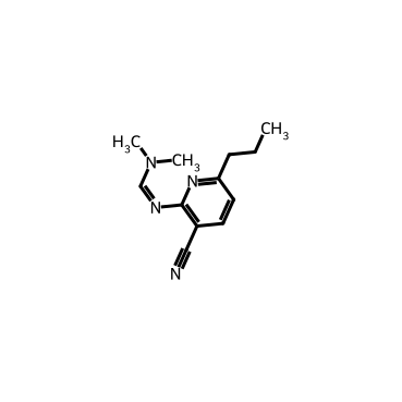 CCCc1ccc(C#N)c(/N=C\N(C)C)n1